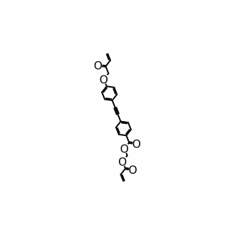 C=CC(=O)COc1ccc(C#Cc2ccc(C(=O)OCOC(=O)C=C)cc2)cc1